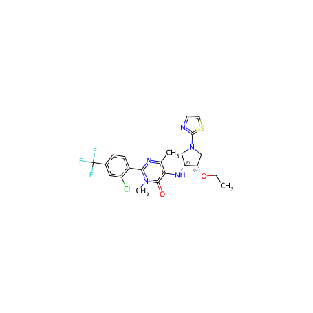 CCO[C@H]1CN(c2nccs2)C[C@H]1Nc1c(C)nc(-c2ccc(C(F)(F)F)cc2Cl)n(C)c1=O